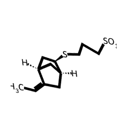 C/C=C1/C[C@H]2C[C@@H]1C[C@H]2SCCCS(=O)(=O)O